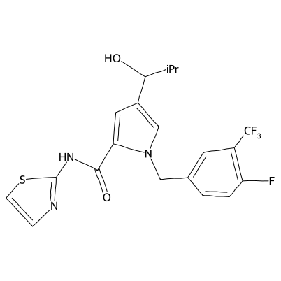 CC(C)C(O)c1cc(C(=O)Nc2nccs2)n(Cc2ccc(F)c(C(F)(F)F)c2)c1